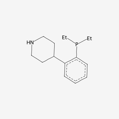 CCP(CC)c1ccccc1C1CCNCC1